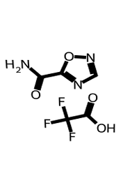 NC(=O)c1ncno1.O=C(O)C(F)(F)F